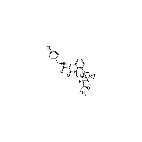 CCC(=O)NS(=O)(=O)C1(COc2cncc3cc(C(=O)NCc4ccc(Cl)cc4)c(=O)n(C)c23)CC1